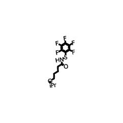 CC(C)OCCCCC(=O)NSc1c(F)c(F)c(F)c(F)c1F